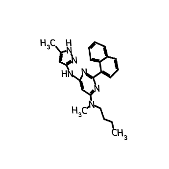 CCCCN(C)c1cc(Nc2cc(C)[nH]n2)nc(-c2cccc3ccccc23)n1